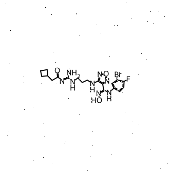 N/C(=N\C(=O)CC1CCC1)NCCCNc1nonc1/C(=N/O)Nc1ccc(F)c(Br)c1